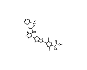 Cc1cc(C2(C(=O)O)CC2)c(F)cc1-c1cc2sc(-c3cnn(C)c3NC(=O)O[C@H](C)c3ccccc3)cc2s1